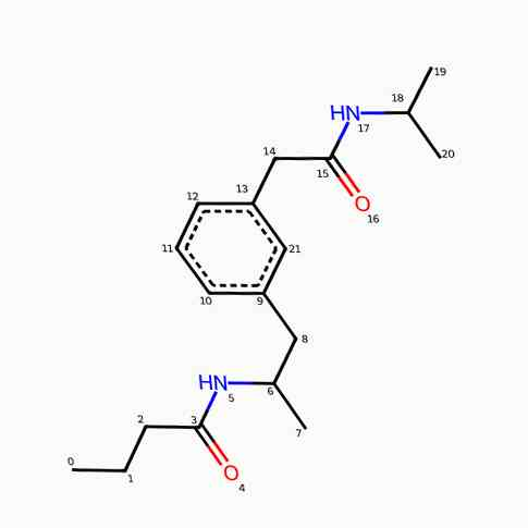 CCCC(=O)NC(C)Cc1cccc(CC(=O)NC(C)C)c1